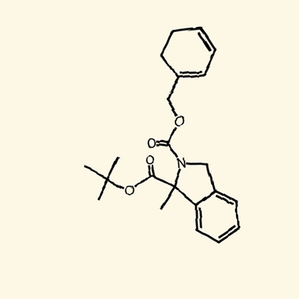 CC(C)(C)OC(=O)C1(C)c2ccccc2CN1C(=O)OCC1=CC=CCC1